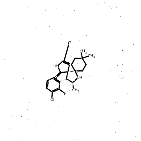 C[C@@H]1NC2(CCC(C)(C)CC2)[C@@]2(C(=O)Nc3nc(Cl)ccc32)[C@H]1c1cccc(Cl)c1F